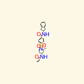 C=CC(=O)NC1CCN(S(=O)(=O)c2ccc(C(=O)NC3Cc4ccccc4C3)cc2)C(C)C1